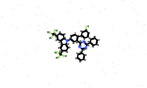 Fc1cccc(-c2ccc(-n3c4ccc(C(F)(F)F)cc4c4cc(C(F)(F)F)ccc43)cc2-c2nc(-c3ccccc3)nc(-c3ccccc3)n2)c1